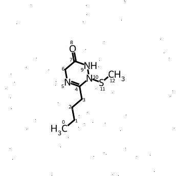 CCCCC1=NCC(=O)NN1SC